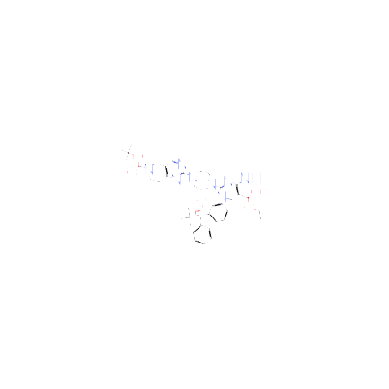 CCOC(=O)c1cnc(N2CCN(c3ncc4c(n3)CCN(C(=O)OC(C)(C)C)C4)C[C@@H]2CO[Si](c2ccccc2)(c2ccccc2)C(C)(C)C)nc1N